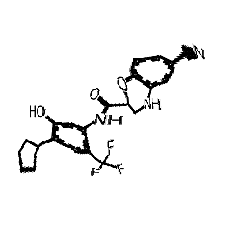 N#Cc1ccc2c(c1)NCC(C(=O)Nc1cc(O)c(C3CCCC3)cc1C(F)(F)F)O2